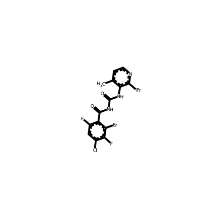 Cc1ccnc(C(C)C)c1NC(=O)NC(=O)c1c(F)cc(Cl)c(F)c1Br